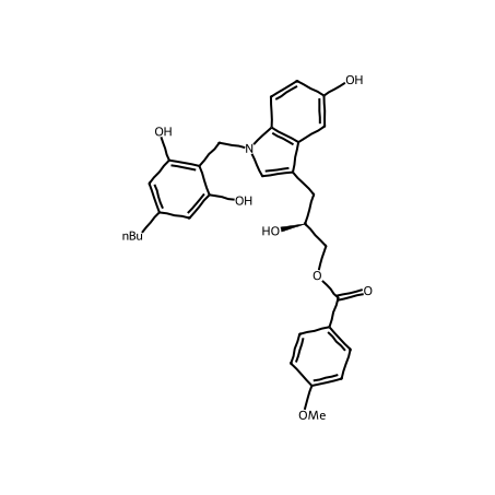 CCCCc1cc(O)c(Cn2cc(C[C@H](O)COC(=O)c3ccc(OC)cc3)c3cc(O)ccc32)c(O)c1